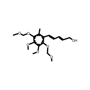 COCOc1c(C)c(C=CC=CCO)c(OCOC)c(OC)c1OC